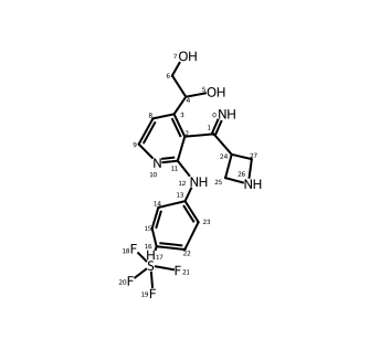 N=C(c1c(C(O)CO)ccnc1Nc1ccc([SH](F)(F)(F)F)cc1)C1CNC1